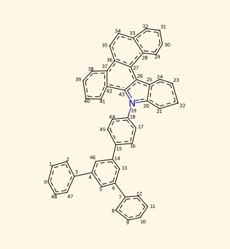 c1ccc(-c2cc(-c3ccccc3)cc(-c3ccc(-n4c5ccccc5c5c6c7ccccc7ccc6c6ccccc6c54)cc3)c2)cc1